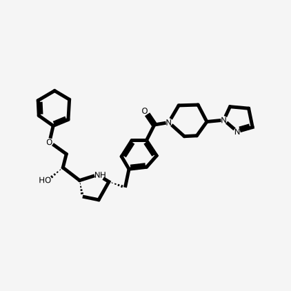 O=C(c1ccc(C[C@@H]2CC[C@H]([C@H](O)COC3=CCCC=C3)N2)cc1)N1CCC(N2CCC=N2)CC1